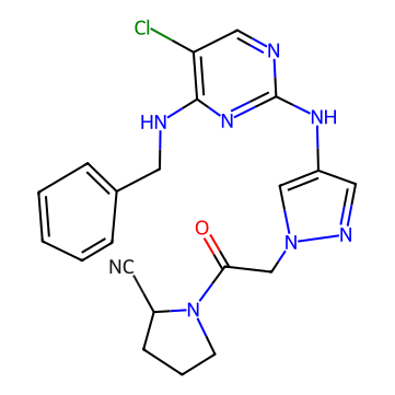 N#CC1CCCN1C(=O)Cn1cc(Nc2ncc(Cl)c(NCc3ccccc3)n2)cn1